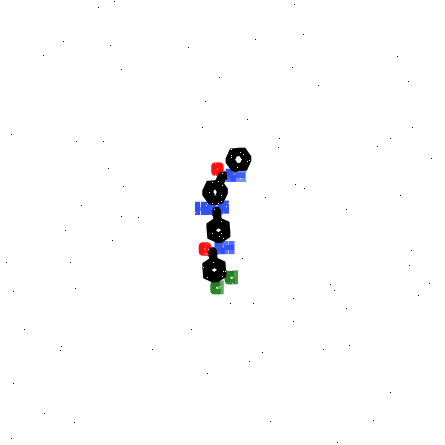 O=C(Nc1ccc(-c2nc3cc(C(=O)NC4CCCCC4)ccc3[nH]2)cc1)c1ccc(Cl)c(Cl)c1